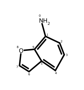 Nc1cccc2ccoc12